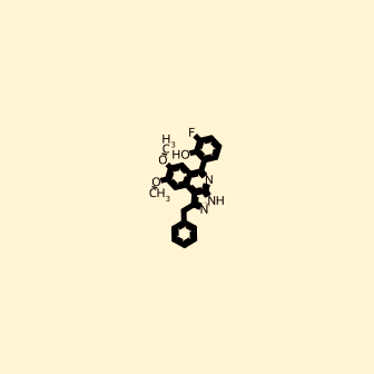 COc1cc2c(-c3cccc(F)c3O)nc3[nH]nc(Cc4ccccc4)c3c2cc1OC